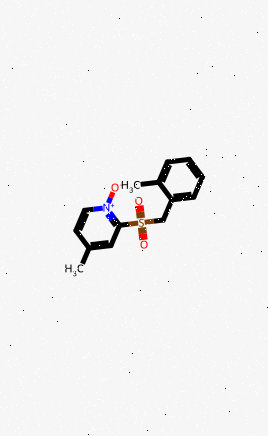 Cc1cc[n+]([O-])c(S(=O)(=O)Cc2ccccc2C)c1